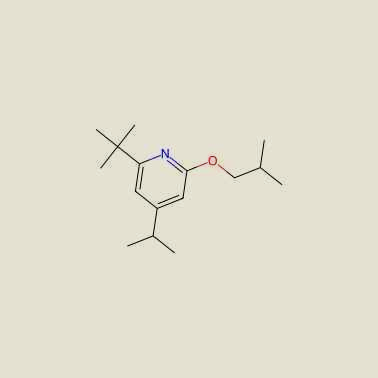 CC(C)COc1cc(C(C)C)cc(C(C)(C)C)n1